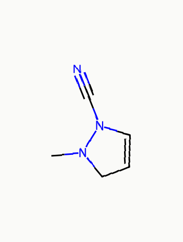 CN1CC=CN1C#N